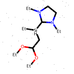 CCOC(C[SiH](CC)C1N(CC)CCN1CC)OCC